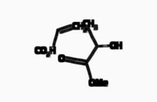 C=CC(=O)O.COC(=O)C(C)O